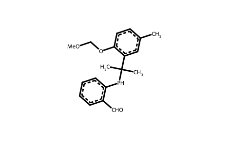 COCOc1ccc(C)cc1C(C)(C)Pc1ccccc1C=O